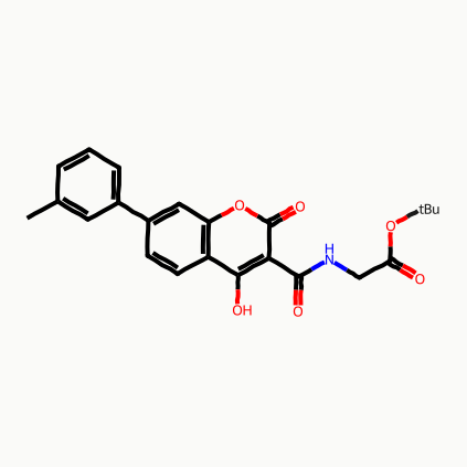 Cc1cccc(-c2ccc3c(O)c(C(=O)NCC(=O)OC(C)(C)C)c(=O)oc3c2)c1